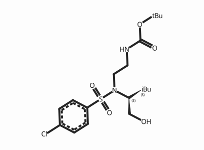 CC[C@H](C)[C@@H](CO)N(CCNC(=O)OC(C)(C)C)S(=O)(=O)c1ccc(Cl)cc1